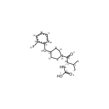 CC(C)[C@H](NC(=O)O)C(=O)N1CCC(Oc2ncccc2F)CC1